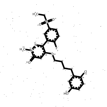 CCS(=O)(=O)c1ccc(F)c(-c2nn(C)c(=O)cc2OCCCCc2cc(O)ccc2Cl)c1